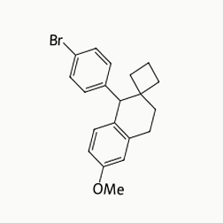 COc1ccc2c(c1)CCC1(CCC1)C2c1ccc(Br)cc1